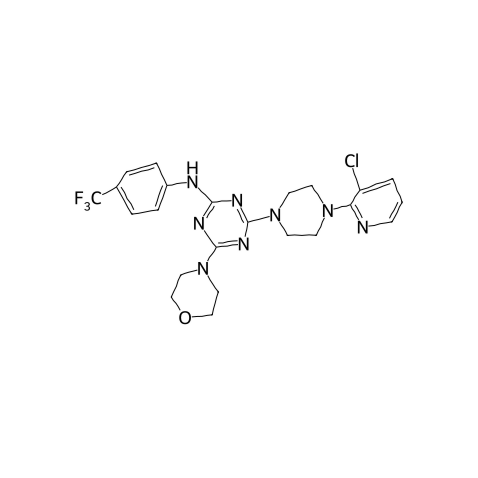 FC(F)(F)c1ccc(Nc2nc(N3CCOCC3)nc(N3CCN(c4ncccc4Cl)CC3)n2)cc1